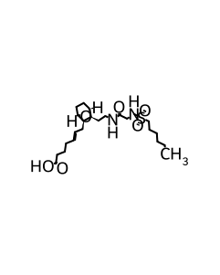 CCCCCCS(=O)(=O)NCC(=O)NCC[C@H]1[C@@H](CC=CCCCC(=O)O)[C@H]2CC[C@@H]1O2